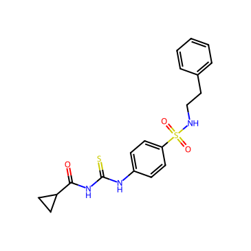 O=C(NC(=S)Nc1ccc(S(=O)(=O)NCCc2ccccc2)cc1)C1CC1